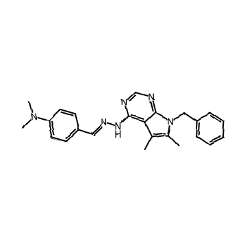 Cc1c(C)n(Cc2ccccc2)c2ncnc(NN=Cc3ccc(N(C)C)cc3)c12